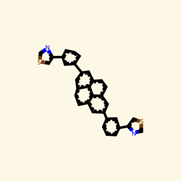 c1cc(-c2cc3ccc4cc(-c5cccc(-c6cscn6)c5)cc5ccc(c2)c3c45)cc(-c2cscn2)c1